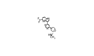 CNC[C@@H]1CN(c2cc(-c3cnc4ccc(C(F)F)nn34)ncn2)CCO1